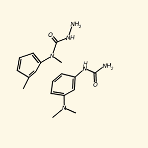 CN(C)c1cccc(NC(N)=O)c1.Cc1cccc(N(C)C(=O)NN)c1